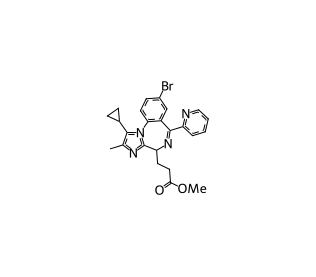 COC(=O)CCC1N=C(c2ccccn2)c2cc(Br)ccc2-n2c1nc(C)c2C1CC1